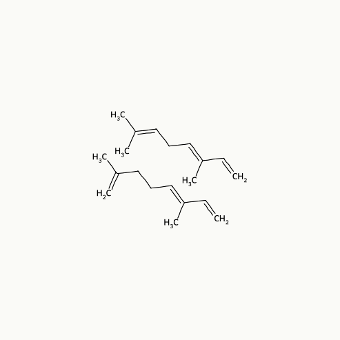 C=C/C(C)=C/CC=C(C)C.C=C/C(C)=C/CCC(=C)C